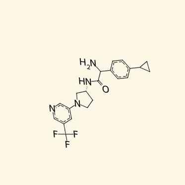 NC(C(=O)N[C@@H]1CCN(c2cncc(C(F)(F)F)c2)C1)c1ccc(C2CC2)cc1